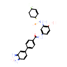 O=C(Nc1ccc(O)c(N[S+]([O-])C2C=CC(F)CC2)c1)c1ccc(-c2ccc3nonc3c2)cc1